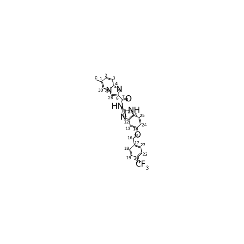 Cc1ccc2nc(C(=O)Nc3nc4cc(OCc5ccc(C(F)(F)F)cc5)ccc4[nH]3)cn2c1